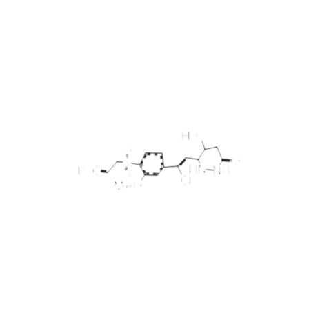 C=CCS(=O)(=O)c1ccc(/C(C)=C/C2NNC(=O)CC2C)cc1OC